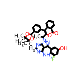 CC(c1oc(=O)c2ccccc2c1-c1cccc(C2OC(C)(C)C(C)(C)O2)c1)n1nc(-c2cc(O)cc(F)c2)c2c(N)ncnc21